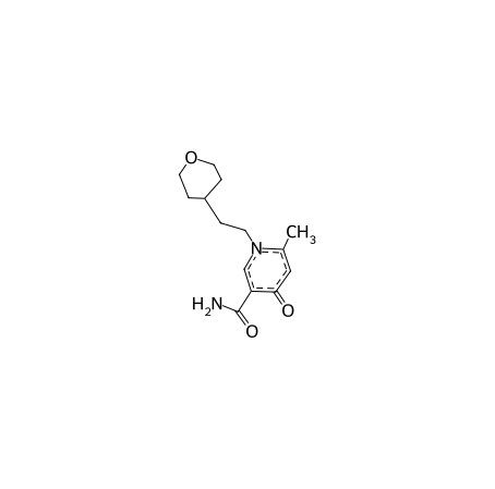 Cc1cc(=O)c(C(N)=O)cn1CCC1CCOCC1